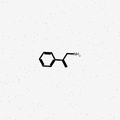 [CH]=C(CN)c1ccccc1